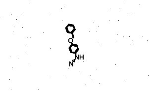 N#CNc1ccc(OCc2ccccc2)cc1